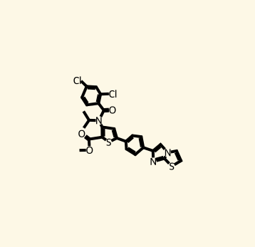 COC(=O)c1sc(-c2ccc(-c3cn4ccsc4n3)cc2)cc1N(C(=O)c1ccc(Cl)cc1Cl)C(C)C